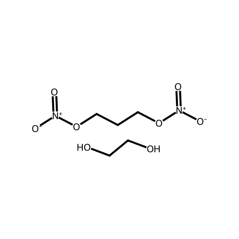 O=[N+]([O-])OCCCO[N+](=O)[O-].OCCO